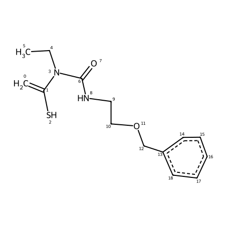 C=C(S)N(CC)C(=O)NCCOCc1ccccc1